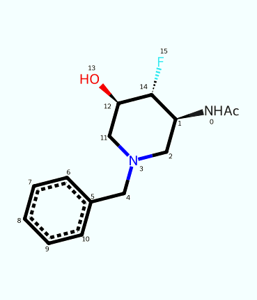 CC(=O)N[C@H]1CN(Cc2ccccc2)C[C@@H](O)[C@@H]1F